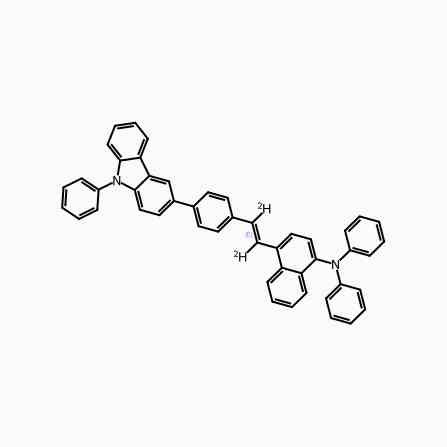 [2H]/C(=C(/[2H])c1ccc(N(c2ccccc2)c2ccccc2)c2ccccc12)c1ccc(-c2ccc3c(c2)c2ccccc2n3-c2ccccc2)cc1